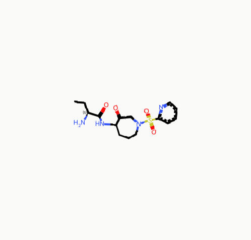 CC[C@H](N)C(=O)NC1CCCN(S(=O)(=O)c2ccccn2)CC1=O